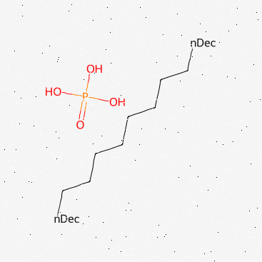 CCCCCCCCCCCCCCCCCCCCCCCCCCCC.O=P(O)(O)O